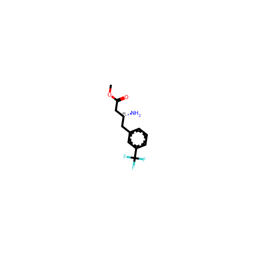 COC(=O)C[C@H](N)Cc1cccc(C(F)(F)F)c1